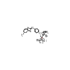 NC(=O)NC1C[C@H]2CC[C@@H](C1)N2CCOc1ccc(Oc2nc3ccc(Cl)cc3s2)cc1